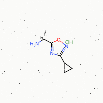 C[C@@H](N)c1nc(C2CC2)no1.Cl